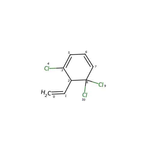 C=CC1C(Cl)=CC=CC1(Cl)Cl